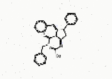 CCC(C)C(=O)/N=C1/CC(c2ccccc2)/C(=C/c2ccccc2)N1C(=O)OCc1ccccc1